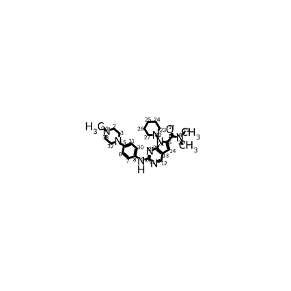 CN1CCN(c2ccc(Nc3ncc4cc(C(=O)N(C)C)n(N5CCCCC5)c4n3)cc2)CC1